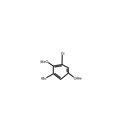 CCc1cc(OC)cc(C(C)(C)C)c1OC